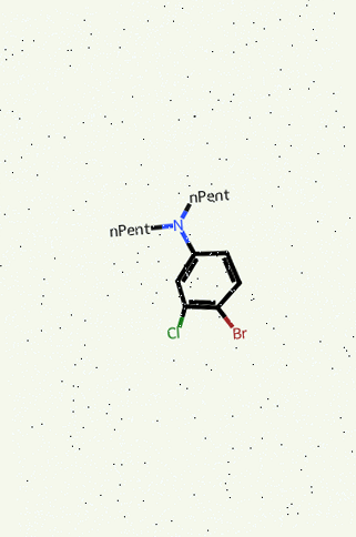 CCCCCN(CCCCC)c1ccc(Br)c(Cl)c1